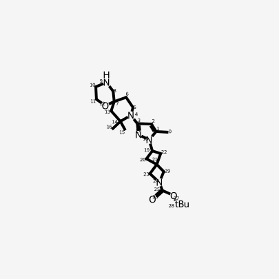 Cc1cc(N2CCC3(CNCCO3)CC2(C)C)nn1C1CC2(C1)CN(C(=O)OC(C)(C)C)C2